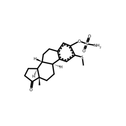 CSc1cc2c(cc1OS(N)(=O)=O)CC[C@@H]1[C@@H]2CC[C@]2(C)C(=O)CC[C@@H]12